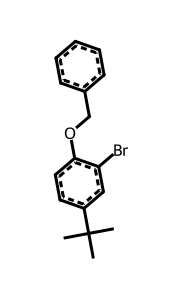 CC(C)(C)c1ccc(OCc2ccccc2)c(Br)c1